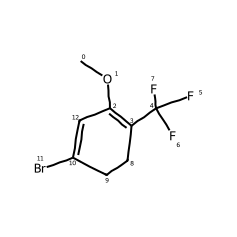 COC1=C(C(F)(F)F)CCC(Br)=C1